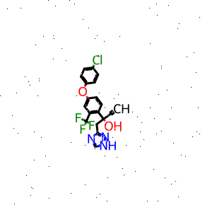 C#C[C@](O)(Cc1nc[nH]n1)c1ccc(Oc2ccc(Cl)cc2)cc1C(F)(F)F